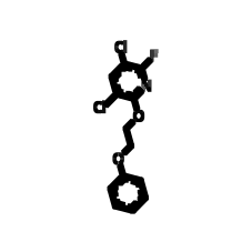 Fc1nc(OCCOc2ccccc2)c(Cl)cc1Cl